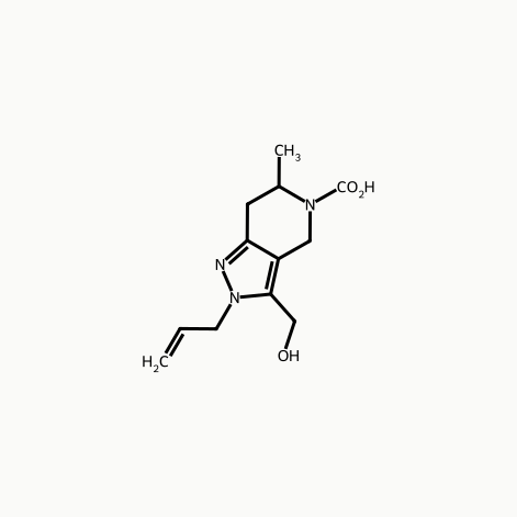 C=CCn1nc2c(c1CO)CN(C(=O)O)C(C)C2